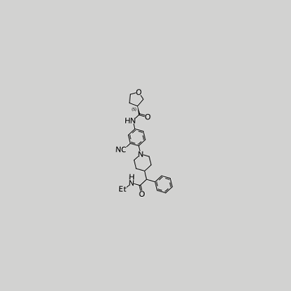 CCNC(=O)C(c1ccccc1)C1CCN(c2ccc(NC(=O)[C@H]3CCOC3)cc2C#N)CC1